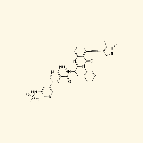 Cc1c(C#Cc2cccc3nc(C(C)NC(=O)c4nc(-c5cncc(NS(C)(=O)=O)c5)cnc4N)n(-c4ccccc4)c(=O)c23)cnn1C